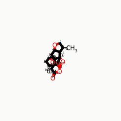 C[C@@H]1COC2CC34C5C[C@@H](C(C)(C)C)C36CC(=O)OC6OC4(C(=O)O5)C21